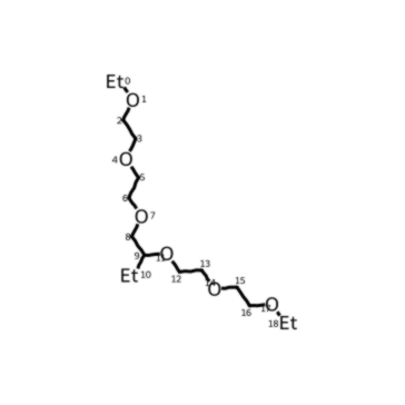 CCOCCOCCOCC(CC)OCCOCCOCC